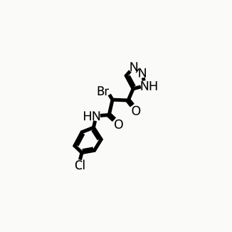 O=C(Nc1ccc(Cl)cc1)C(Br)C(=O)c1cnn[nH]1